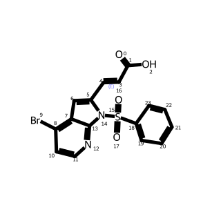 O=C(O)/C=C/c1cc2c(Br)ccnc2n1S(=O)(=O)c1ccccc1